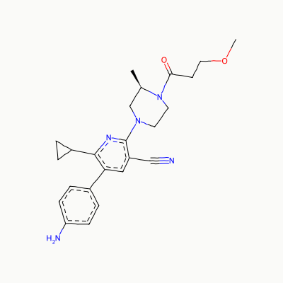 COCCC(=O)N1CCN(c2nc(C3CC3)c(-c3ccc(N)cc3)cc2C#N)C[C@H]1C